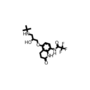 CC(C)(C)NCC(O)COc1ccc(NC(=O)C(F)(F)F)c2c1CCC(=O)N2